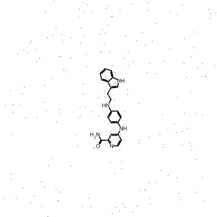 NC(=O)c1cc(Nc2ccc(NCCc3c[nH]c4ccccc34)cc2)ccn1